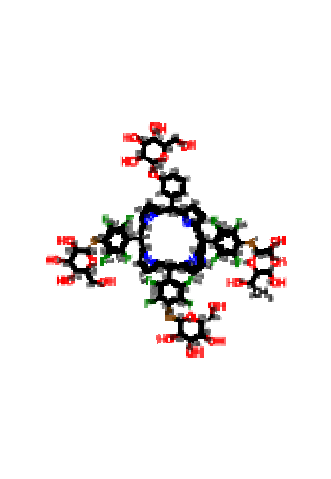 C[C@@H](O)C(CO)O[C@@H](Sc1c(F)c(F)c(-c2c3nc(c(-c4cccc(O[C@@H]5OC(CO)[C@@H](O)C(O)C5O)c4)c4ccc([nH]4)c(-c4c(F)c(F)c(S[C@@H]5OC(CO)[C@H](O)C(O)C5O)c(F)c4F)c4nc(c(-c5c(F)c(F)c(SC6O[C@H](CO)C(O)C(O)[C@H]6O)c(F)c5F)c5ccc2[nH]5)C=C4)C=C3)c(F)c1F)C(O)O